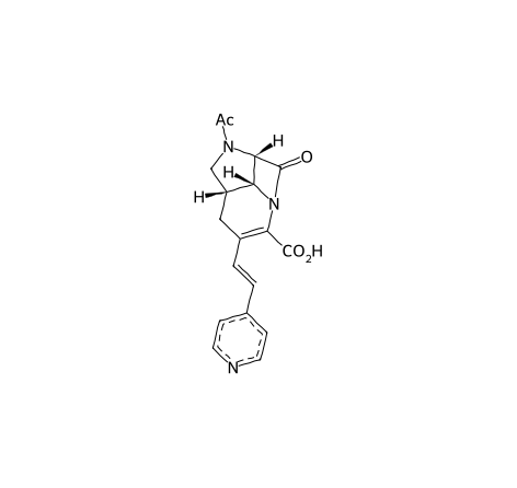 CC(=O)N1C[C@H]2CC(/C=C/c3ccncc3)=C(C(=O)O)N3C(=O)[C@@H]1[C@@H]23